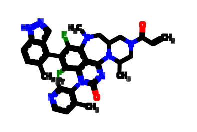 C=CC(=O)N1CC(C)N2c3nc(=O)n(-c4c(C)ccnc4C(C)C)c4c(F)c(-c5c(C)ccc6[nH]ncc56)c(F)c(c34)N(C)CC2C1